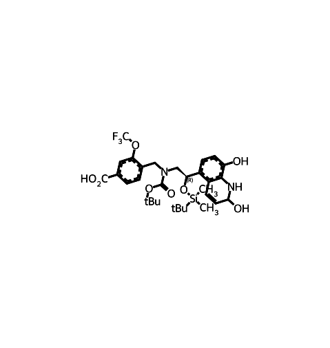 CC(C)(C)OC(=O)N(Cc1ccc(C(=O)O)cc1OC(F)(F)F)C[C@H](O[Si](C)(C)C(C)(C)C)c1ccc(O)c2c1C=CC(O)N2